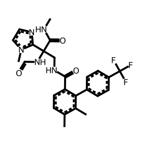 CNC(=O)C(CNC(=O)c1ccc(C)c(C)c1-c1ccc(C(F)(F)F)cc1)(NC=O)c1nccn1C